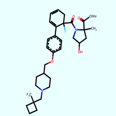 COC(=O)C1(C)CC(O)CN1C(=O)C1(F)CC=CC=C1c1ccc(OCC2CCN(CC3(C(F)(F)F)CCC3)CC2)cc1